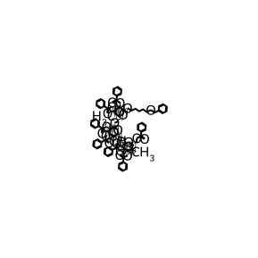 C[C@H]1[C@H](OC(=O)c2ccccc2)[C@@H](OC(=O)c2ccccc2)[C@H](OC[C@H]2O[C@@H](OC[C@H]3O[C@@H](OCCCCCOCc4ccccc4)[C@H](OC(=O)c4ccccc4)[C@@H](OC(=O)c4ccccc4)[C@@H]3C)[C@H](OC(=O)c3ccccc3)[C@@H](OC(=O)c3ccccc3)[C@@H]2C)O[C@@H]1COC(=O)c1ccccc1